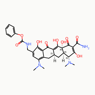 CN(C)c1cc(CNC(=O)Oc2ccccc2)c(O)c2c1C[C@@H]1C[C@@H]3[C@@H](N(C)C)C(O)=C(C(N)=O)C(=O)[C@]3(O)C(O)=C1C2=O